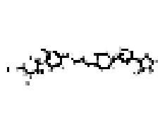 Cc1cc(OCCCC2CCN(c3noc(C4CCCN4C)n3)CC2)ccc1C(=O)N[C@H](C)CO